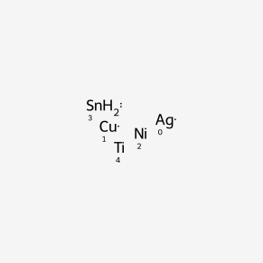 [Ag].[Cu].[Ni].[SnH2].[Ti]